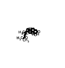 CC(C)C(=O)CC[C@@H](C)[C@H]1CC[C@H]2[C@@H]3C=CC4=CC(=O)[C@@H]5O[C@@H]5[C@]4(C)[C@H]3CC[C@]12C